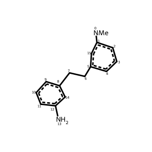 CNc1cccc(CCc2cccc(N)c2)c1